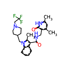 Cc1cc(C)c(CNC(=O)c2c(C)n(CC3CCN(CC(F)(F)F)CC3)c3ccccc23)c(=O)[nH]1